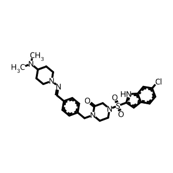 CN(C)C1CCN(N=Cc2ccc(CN3CCN(S(=O)(=O)c4cc5ccc(Cl)cc5[nH]4)CC3=O)cc2)CC1